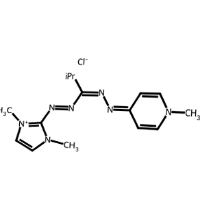 CC(C)C(N=Nc1n(C)cc[n+]1C)=NN=c1ccn(C)cc1.[Cl-]